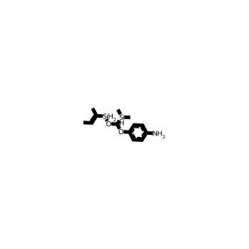 CC=C(C)[SiH2]OC(Oc1ccc(N)cc1)[SiH](C)C